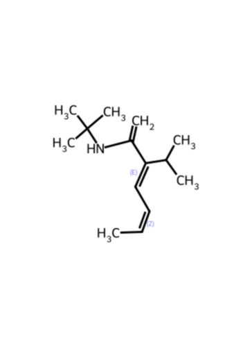 C=C(NC(C)(C)C)/C(=C/C=C\C)C(C)C